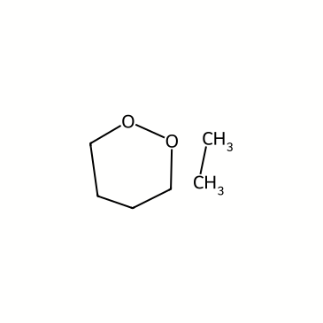 C1CCOOC1.CC